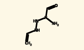 C=CNNN(N)C=O